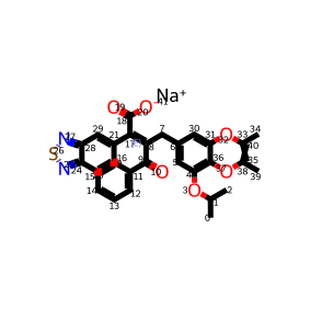 CC(C)Oc1cc(C/C(C(=O)c2ccccc2)=C(\C(=O)[O-])c2ccc3nsnc3c2)cc(OC(C)C)c1OC(C)C.[Na+]